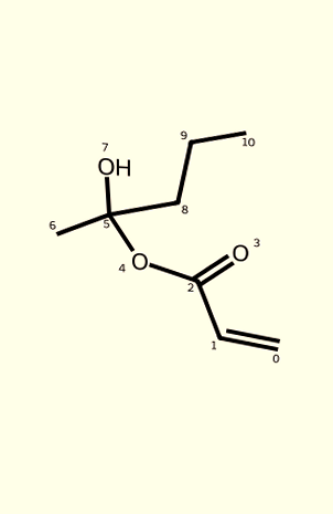 C=CC(=O)OC(C)(O)CCC